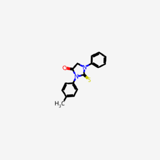 Cc1ccc(N2C(=O)CN(c3ccccc3)C2=S)cc1